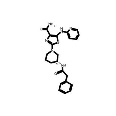 NC(=O)c1nc(N2CCC[C@@H](NC(=O)Cc3ccccc3)C2)sc1Nc1ccccn1